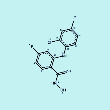 O=C(NO)c1ccc(F)cc1Nc1ccc(I)cc1Cl